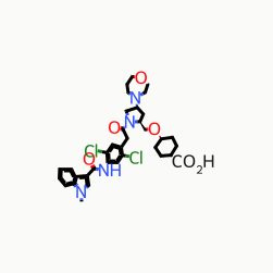 Cn1cc(C(=O)Nc2cc(Cl)c(CC(=O)N3C[C@@H](N4CCCOCC4)C[C@H]3CO[C@H]3CC[C@H](C(=O)O)CC3)cc2Cl)c2ccccc21